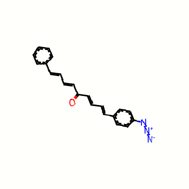 [N-]=[N+]=Nc1ccc(C=CC=CC(=O)C=CC=Cc2ccccc2)cc1